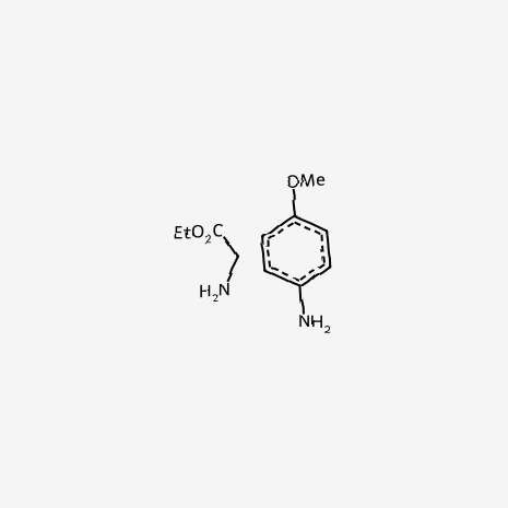 CCOC(=O)CN.COc1ccc(N)cc1